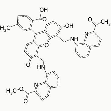 COC(=O)c1ccc2cccc(NCc3c4oc5c(CNc6cccc7ccc(C(C)=O)nc67)c(O)ccc5c(-c5cc(C)ccc5C(=O)O)c-4ccc3=O)c2n1